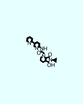 O=C(CN1CCCC2=C1C(=O)N(C1CC1)C2O)Nc1ccc(-c2ccccn2)cn1